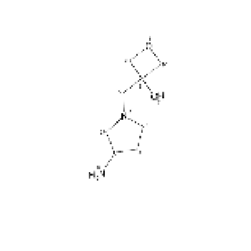 NC1CCN(CC2(O)COC2)C1